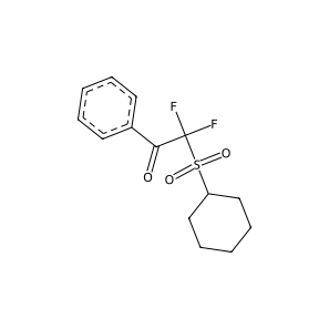 O=C(c1ccccc1)C(F)(F)S(=O)(=O)C1CCCCC1